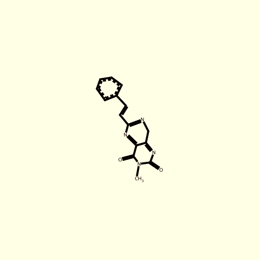 CN1C(=O)N=C2CN=C(/C=C/c3ccccc3)N=C2C1=O